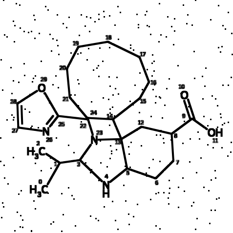 CC(C)C1NC2CCC(C(=O)O)CC2(C2CCCCCCCC2)N1Cc1ncco1